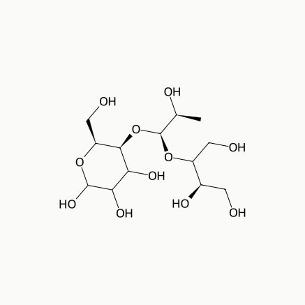 C[C@H](O)[C@@H](OC(CO)[C@H](O)CO)O[C@H]1C(O)C(O)C(O)O[C@H]1CO